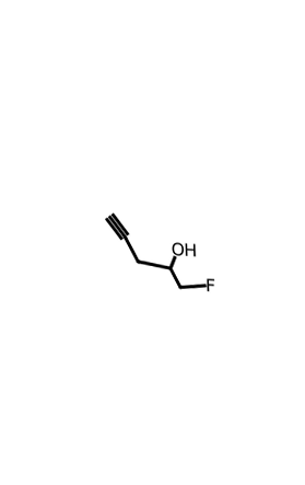 C#CCC(O)CF